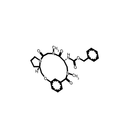 CN1C[C@@H](NC(=O)OCc2ccccc2)C(=O)N(C)CC(=O)N2CCC[C@H]2COc2cccc(c2)C1=O